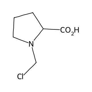 O=C(O)C1CCCN1CCl